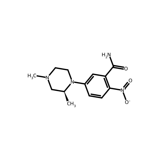 C[C@H]1CN(C)CCN1c1ccc([N+](=O)[O-])c(C(N)=O)c1